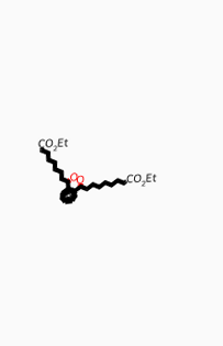 CCOC(=O)CCCCCCCC(=O)[C]12[CH]3[CH]4[CH]5[C]1(C(=O)CCCCCCCC(=O)OCC)[Fe]43521678[CH]2[CH]1[CH]6[CH]7[CH]28